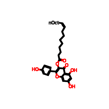 CCCCCCCC/C=C\CCCCCCCC(=O)Oc1c(-c2ccc(O)cc2)oc2cc(O)cc(O)c2c1=O